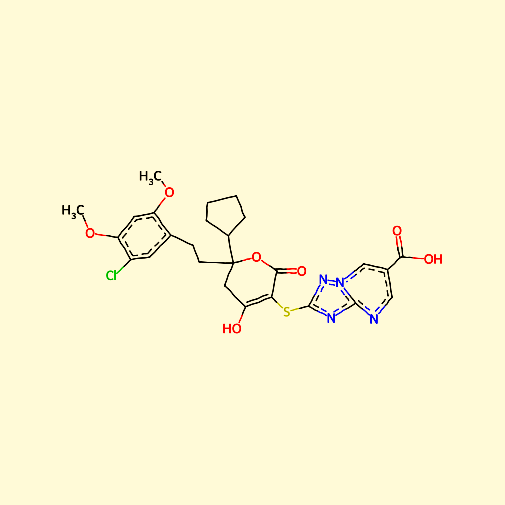 COc1cc(OC)c(CCC2(C3CCCC3)CC(O)=C(Sc3nc4ncc(C(=O)O)cn4n3)C(=O)O2)cc1Cl